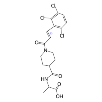 CC(NC(=O)C1CCN(C(=O)/C=C/c2c(Cl)ccc(Cl)c2Cl)CC1)C(=O)O